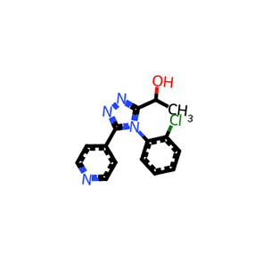 CC(O)c1nnc(-c2ccncc2)n1-c1ccccc1Cl